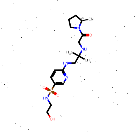 CC(C)(CNc1ccc(S(=O)(=O)NCCO)cn1)NCC(=O)N1CCC[C@H]1C#N